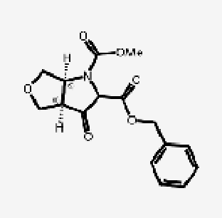 COC(=O)N1C(C(=O)OCc2ccccc2)C(=O)[C@H]2COC[C@H]21